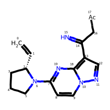 C=C[C@H]1CCCN1c1ccn2ncc(C(=N)CC(C)=O)c2n1